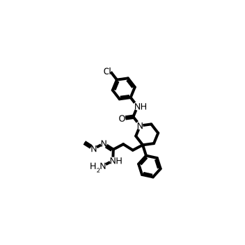 C=N/N=C(/CCC1(c2ccccc2)CCCN(C(=O)Nc2ccc(Cl)cc2)C1)NN